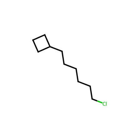 ClCCCCCC[C]1CCC1